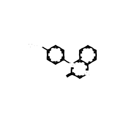 COc1ccc(-n2c(=O)cnc3ccccc32)cc1